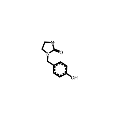 O=C1[N]CCN1Cc1ccc(O)cc1